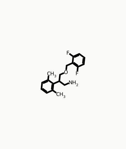 Cc1cccc(C)c1C(CN)COCc1c(F)cccc1F